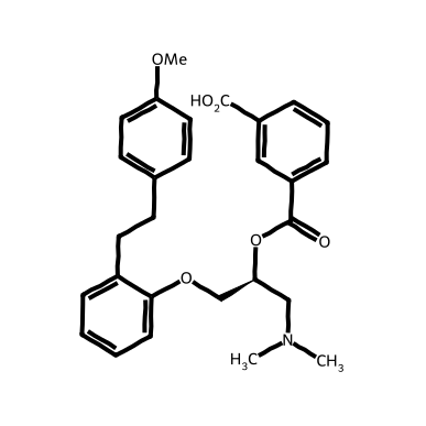 COc1ccc(CCc2ccccc2OC[C@H](CN(C)C)OC(=O)c2cccc(C(=O)O)c2)cc1